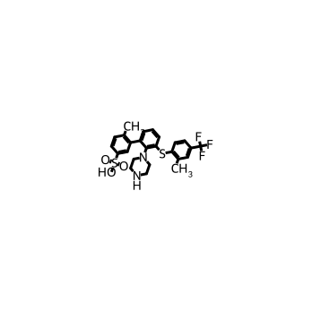 Cc1cc(C(F)(F)F)ccc1Sc1cccc(-c2cc(S(=O)(=O)O)ccc2C)c1N1CCNCC1